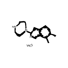 Cc1ccc2cc(N3CCNCC3)ncc2c1C.Cl